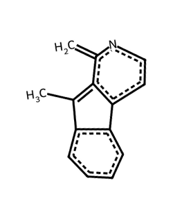 C=c1nccc2c1=C(C)c1ccccc1-2